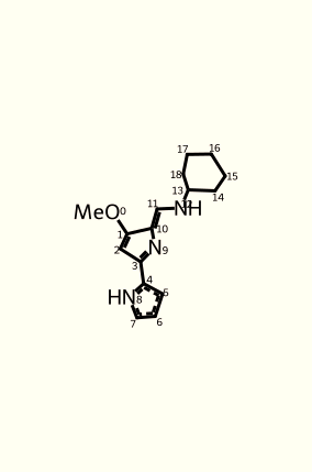 COC1=CC(c2ccc[nH]2)=N/C1=C\NC1CCCCC1